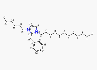 CCCCCCCCCCCCn1cc[n+](CCCCCC)c1Cc1ccccc1